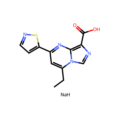 CCc1cc(-c2ccns2)nc2c(C(=O)O)ncn12.[NaH]